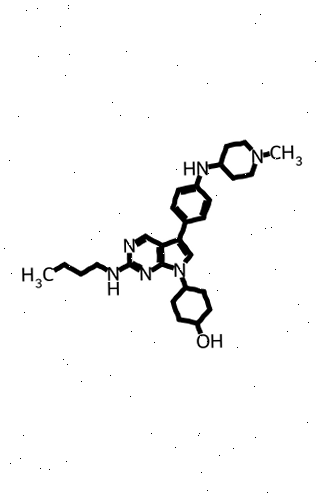 CCCCNc1ncc2c(-c3ccc(NC4CCN(C)CC4)cc3)cn(C3CCC(O)CC3)c2n1